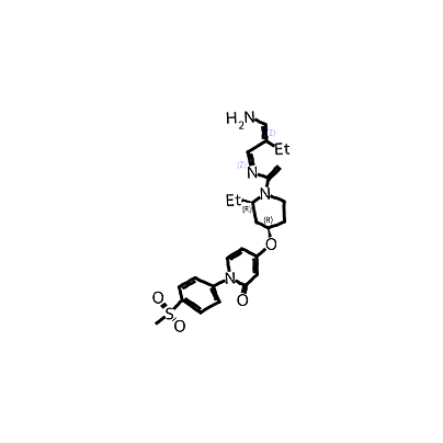 C=C(/N=C\C(=C/N)CC)N1CC[C@@H](Oc2ccn(-c3ccc(S(C)(=O)=O)cc3)c(=O)c2)C[C@H]1CC